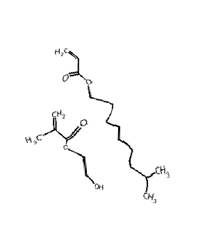 C=C(C)C(=O)OCCO.C=CC(=O)OCCCCCCCC(C)C